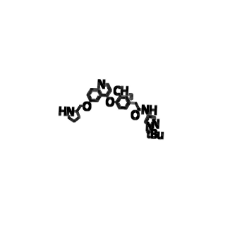 Cc1cc(CC(=O)Nc2cnn(C(C)(C)C)c2)ccc1Oc1ccnc2ccc(OCC3CCCN3)cc12